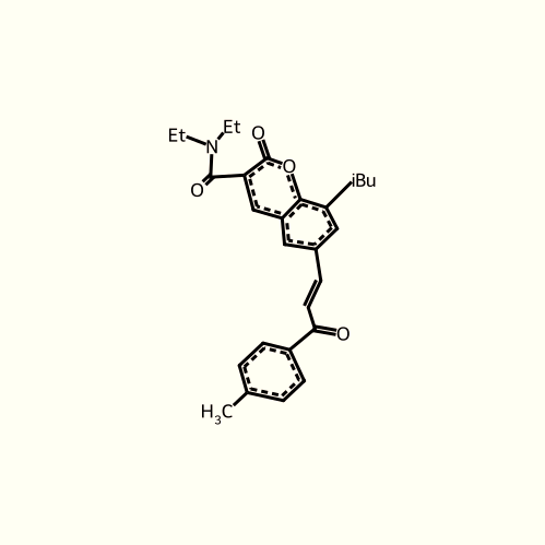 CCC(C)c1cc(C=CC(=O)c2ccc(C)cc2)cc2cc(C(=O)N(CC)CC)c(=O)oc12